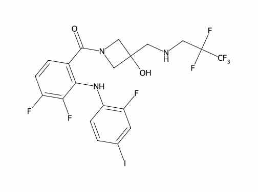 O=C(c1ccc(F)c(F)c1Nc1ccc(I)cc1F)N1CC(O)(CNCC(F)(F)C(F)(F)F)C1